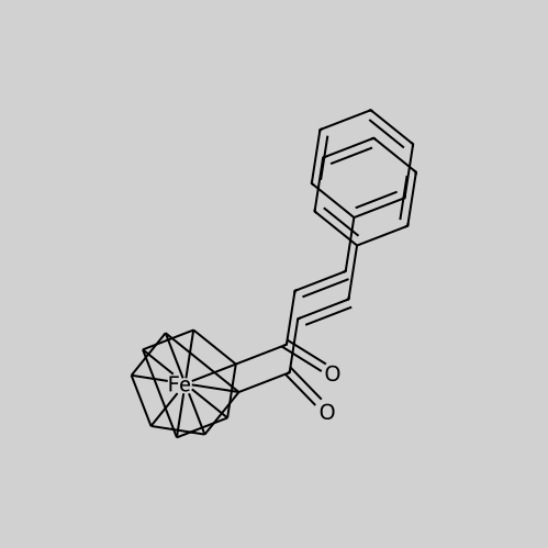 O=C(C=Cc1ccccc1)[C]12[CH]3[CH]4[CH]5[CH]1[Fe]45321678[CH]2[CH]1[CH]6[C]7(C(=O)C=Cc1ccccc1)[CH]28